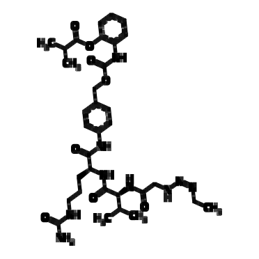 CC/N=N\NCC(=O)N[C@H](C(=O)N[C@@H](CCCNC(N)=O)C(=O)Nc1ccc(COC(=O)Nc2ccccc2OC(=O)C(C)C)cc1)C(C)C